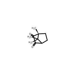 CC1(C)C2CC[C@@]1(C)C(=O)C2=O